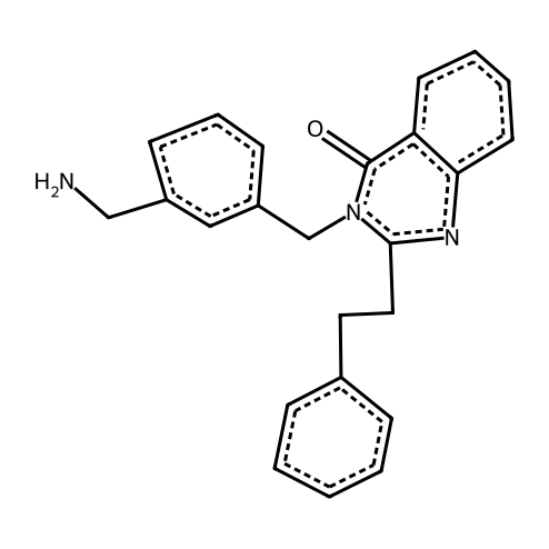 NCc1cccc(Cn2c(CCc3ccccc3)nc3ccccc3c2=O)c1